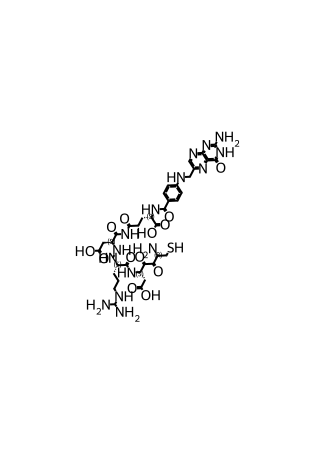 Nc1nc2ncc(CNc3ccc(C(=O)N[C@@H](CCC(=O)NC(=O)[C@H](CC(=O)O)NN[C@@H](CCCNC(N)N)C(=O)N[C@@H](CC(=O)O)C(=O)C(=O)[C@@H](N)CS)C(=O)O)cc3)nc2c(=O)[nH]1